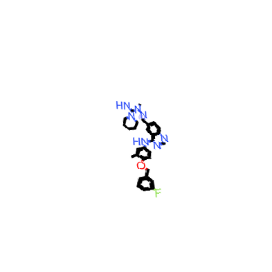 Cc1cc(Nc2ncnc3ccc(/C=N/N(C)C(=N)N4CCCCC4)cc23)ccc1OCc1cccc(F)c1